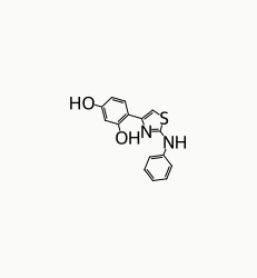 Oc1ccc(-c2csc(Nc3ccccc3)n2)c(O)c1